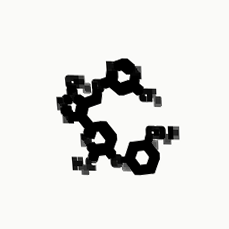 Cc1nc(-c2nnn(C)c2COc2cc(C(F)(F)F)ncn2)ccc1O[C@H]1CCC[C@H](C(=O)O)C1